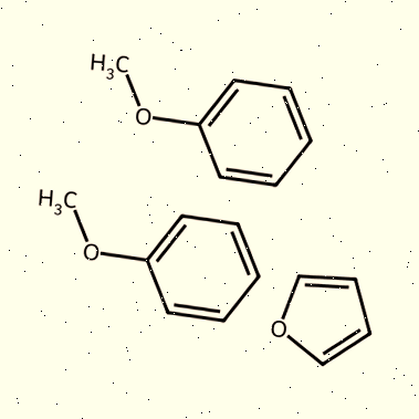 COc1ccccc1.COc1ccccc1.c1ccoc1